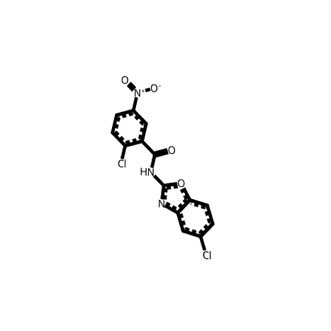 O=C(Nc1nc2cc(Cl)ccc2o1)c1cc([N+](=O)[O-])ccc1Cl